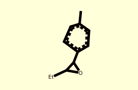 CCC1OC1c1ccc(C)cc1